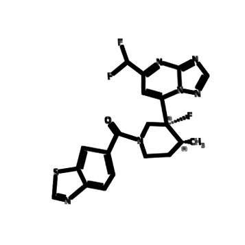 C[C@@H]1CCN(C(=O)c2ccc3ncsc3c2)C[C@@]1(F)c1cc(C(F)F)nc2ncnn12